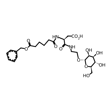 O=C(O)C[C@H](NC(=O)CCCCC(=O)OCc1ccccc1)C(=O)NCCO[C@H]1O[C@H](CO)[C@@H](O)[C@H](O)[C@@H]1O